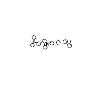 c1ccc(-n2c3ccccc3c3ccc(-c4cccc5c4c4ccccc4n5-c4ccc(-c5ccc(-c6ccc7oc8ccccc8c7c6)cc5)cc4)cc32)cc1